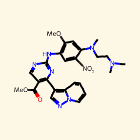 COC(=O)c1cnc(Nc2cc([N+](=O)[O-])c(N(C)CCN(C)C)cc2OC)nc1-c1cnn2ccccc12